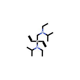 C=C[Si](C=C)(CN(CC)C(C)C)N(CC)C(C)C